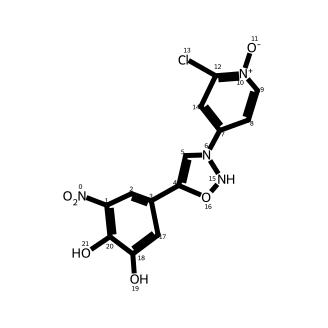 O=[N+]([O-])c1cc(C2=CN(c3cc[n+]([O-])c(Cl)c3)NO2)cc(O)c1O